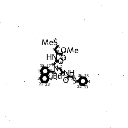 CCC(C)C(CN(CC(=O)NC(CCSC)C(=O)OC)Cc1cccc2ccccc12)NC(=O)CSc1ccccc1